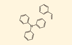 C=Cc1ccccc1.c1ccc(N(c2ccccc2)c2ccccc2)cc1